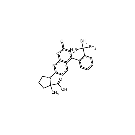 BC(B)(B)c1ccccc1-c1cc(=O)oc2nc(N3CCCC3(C)C(=O)O)ccc12